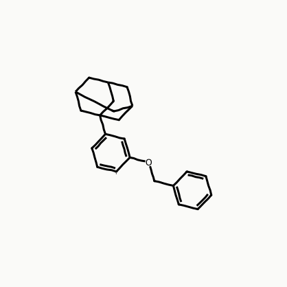 [c]1ccc(C23CC4CC(CC(C4)C2)C3)cc1OCc1ccccc1